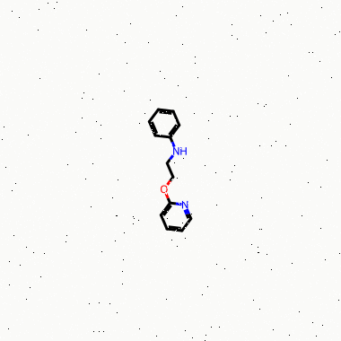 c1ccc(NCCOc2ccccn2)cc1